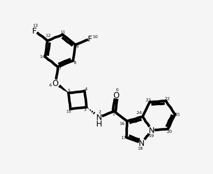 O=C(N[C@H]1C[C@H](Oc2cc(F)cc(F)c2)C1)c1cnn2ccccc12